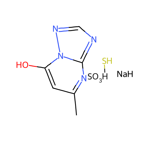 Cc1cc(O)n2ncnc2n1.O=S(=O)(O)S.[NaH]